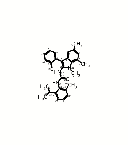 Cc1cc(C)c2c(c1)c(-c1ccccc1Cl)c(NC(=O)Nc1c(C)cccc1C(C)C)n2C